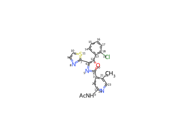 CC(=O)Nc1cc(-c2nc(-c3nccs3)c(-c3ccccc3Cl)o2)c(C)cn1